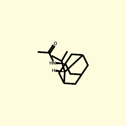 CC(=O)N[C@]12CC3CC(C1)[C@@H](C(C)C)C(C3)C2